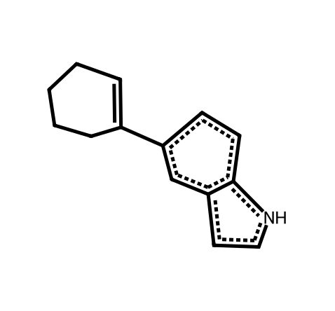 C1=C(c2ccc3[nH]ccc3c2)CCCC1